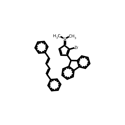 C(C=Cc1ccccc1)=Cc1ccccc1.C[Si](C)=C1C=CC(C2c3ccccc3-c3ccccc32)=[C]1[Zr]